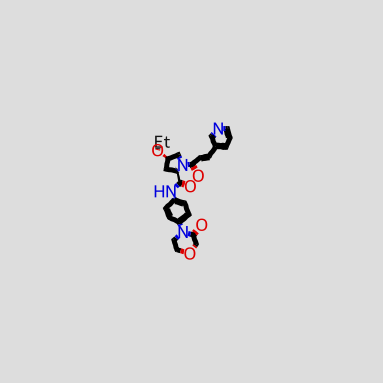 CCO[C@@H]1C[C@H](C(=O)Nc2ccc(N3CCOCC3=O)cc2)N(C(=O)C=Cc2cccnc2)C1